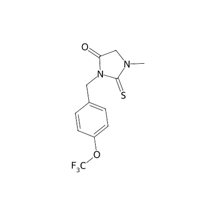 CN1CC(=O)N(Cc2ccc(OC(F)(F)F)cc2)C1=S